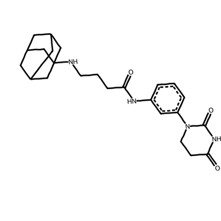 O=C1CCN(c2cccc(NC(=O)CCCNC34CC5CC(CC(C5)C3)C4)c2)C(=O)N1